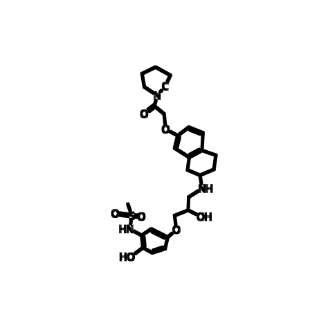 CS(=O)(=O)Nc1cc(OCC(O)CNC2CCc3ccc(OCC(=O)N4CCCCC4)cc3C2)ccc1O